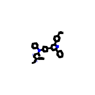 C=C(/C=C\C(=C/C)OC)N(c1ccccc1)c1ccc(-c2cc(-c3ccccc3)nc(-c3ccc(CCCC)cc3)c2)cc1